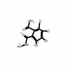 NC(=O)c1c(Cl)c(Cl)c(Cl)c(Cl)c1C(=O)NO